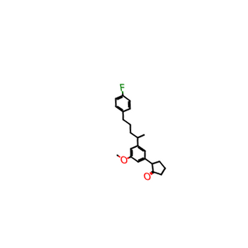 COc1cc(C(C)CCCc2ccc(F)cc2)cc(C2CCCC2=O)c1